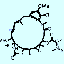 COc1cc2cc(c1Cl)N(C)C(=O)CC(OC(=O)[C@@H](C)N(C)C(C)=O)C1(C)OC1C(C)C1CC(O)(NC(=O)O1)C(OC)/C=C/C=C(\C)C2